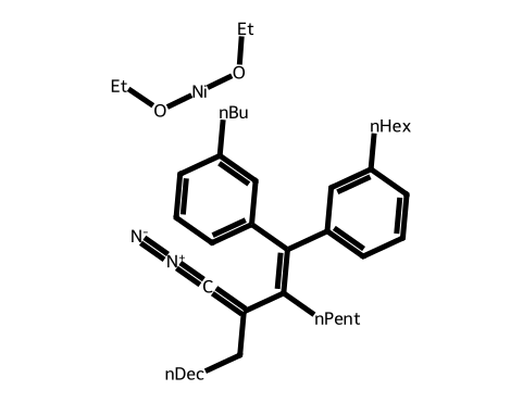 CCCCCCCCCCCC(=C=[N+]=[N-])C(CCCCC)=C(c1cccc(CCCC)c1)c1cccc(CCCCCC)c1.CC[O][Ni][O]CC